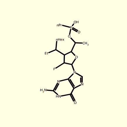 CCCCCCC(CC)C1C(F)C(n2cnc3c(=O)[nH]c(N)nc32)OC1C(C)OP(=O)(O)CCC